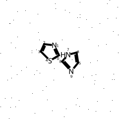 [c]1nccs1.c1c[nH]cn1